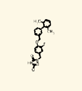 Cc1cccc(C)c1-c1cccc(COc2ccc(Cn3oc(=O)[nH]c3=O)cc2F)c1